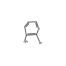 CCCc1cccbc1Br